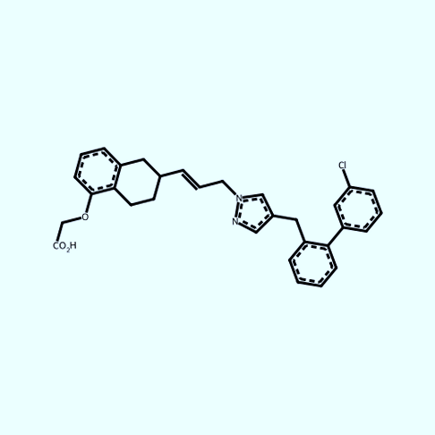 O=C(O)COc1cccc2c1CCC(C=CCn1cc(Cc3ccccc3-c3cccc(Cl)c3)cn1)C2